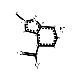 Cn1cc2c(C(=O)[O-])cccc2n1.[K+]